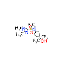 Cc1nc(S(=O)(=O)N(CC(F)(F)F)C2CCC(C(O)(C(F)(F)F)C(F)(F)F)CC2)cn1C